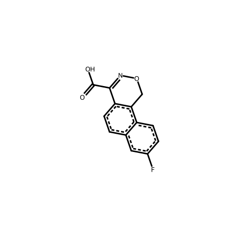 O=C(O)C1=NOCc2c1ccc1cc(F)ccc21